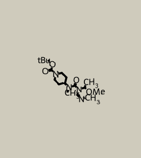 C/N=C\N(C(=O)N(C)C1CCN(C(=O)OC(C)(C)C)CC1)C(C)OC